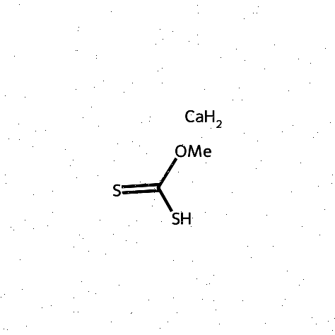 COC(=S)S.[CaH2]